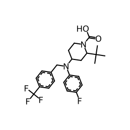 CC(C)(C)C1CC(N(Cc2ccc(C(F)(F)F)cc2)c2ccc(F)cc2)CCN1C(=O)O